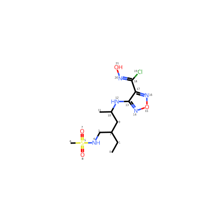 CCC(CNS(C)(=O)=O)CC(C)Nc1nonc1/C(Cl)=N/O